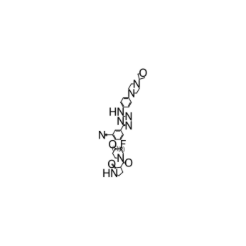 N#Cc1cc(-c2ncnc(Nc3ccc(N4CCN(C5COC5)CC4)cc3)n2)ccc1O[C@H]1CCN(C(=O)C2CCNC2=O)C[C@H]1F